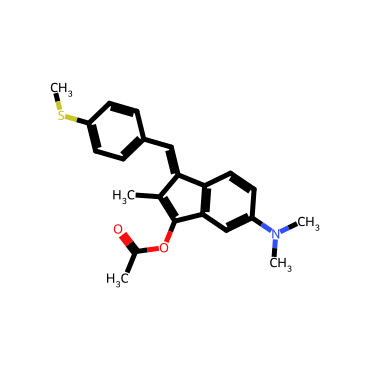 CSc1ccc(C=C2C(C)=C(OC(C)=O)c3cc(N(C)C)ccc32)cc1